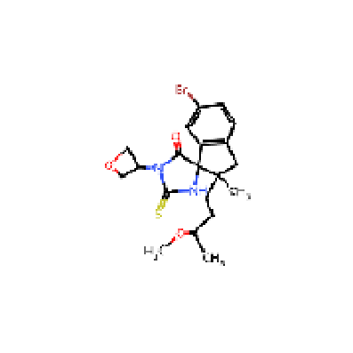 COC(C)CCC1(C)Cc2ccc(Br)cc2C12NC(=S)N(C1COC1)C2=O